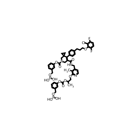 Cc1c(CNC(=O)C2=C(c3ccc(CCCOc4c(F)ccc(F)c4Cl)cc3)C3(CC3)CN(C(=O)Oc3cccc(CON(O)O)c3)C2)ccnc1OCC(C)OC(=O)Oc1cccc(CON(O)O)c1